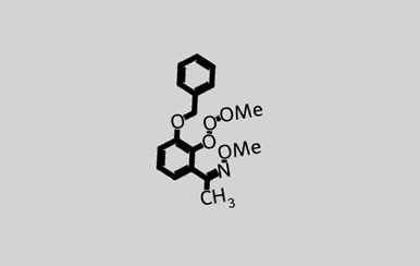 CO/N=C(/C)c1cccc(OCc2ccccc2)c1OOOC